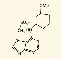 COC1CCCC(Nc2ncnc3nc[nH]c23)C1.CS(=O)(=O)O